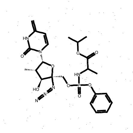 C=C1C=CN([C@@H]2O[C@@](COP(=O)(NC(C)C(=O)OC(C)C)Oc3ccccc3)(N=[N+]=[N-])[C@@H](O)[C@@H]2C)C(=O)N1